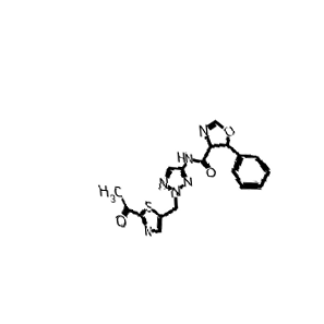 CC(=O)c1ncc(Cn2ncc(NC(=O)C3N=COC3c3ccccc3)n2)s1